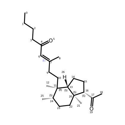 CCCCC(=O)/C=C(\C)CC[C@@]1(C)[C@@H]2CC[C@H](C(C)=O)[C@@]2(C)CC[C@@H]1C